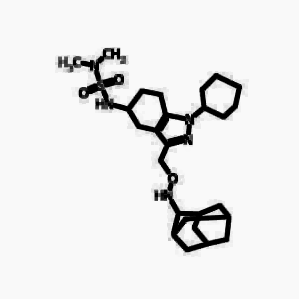 CN(C)S(=O)(=O)NC1CCc2c(c(CONC3C4CC5CC(C4)CC3C5)nn2C2CCCCC2)C1